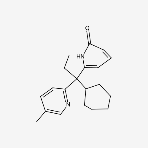 CCC(c1ccc(C)cn1)(c1cccc(=O)[nH]1)C1CCCCC1